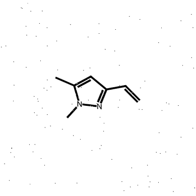 C=Cc1cc(C)n(C)n1